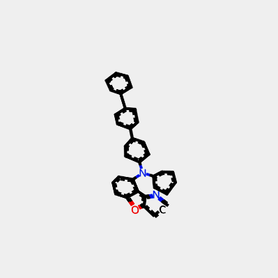 c1ccc(-c2ccc(-c3ccc(N(c4ccccc4)c4cccc5oc6cccnc6c45)cc3)cc2)cc1